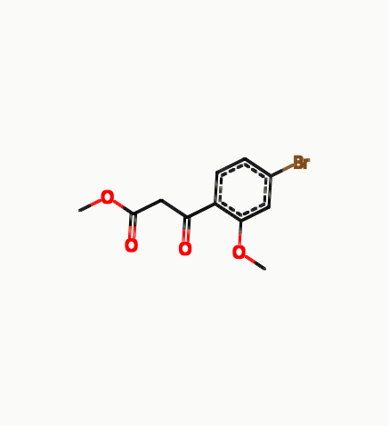 COC(=O)CC(=O)c1ccc(Br)cc1OC